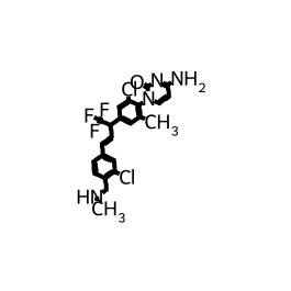 CNCc1ccc(/C=C/C(c2cc(C)c(-n3ccc(N)nc3=O)c(Cl)c2)C(F)(F)F)cc1Cl